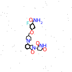 NC(=O)c1ccc(OCC2CCN(c3cccc4c3CN(C3CCC(=O)NC3=O)C4=O)CC2)cc1F